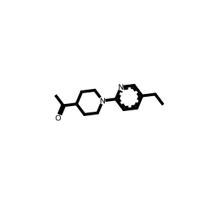 CCc1ccc(N2CCC(C(C)=O)CC2)nc1